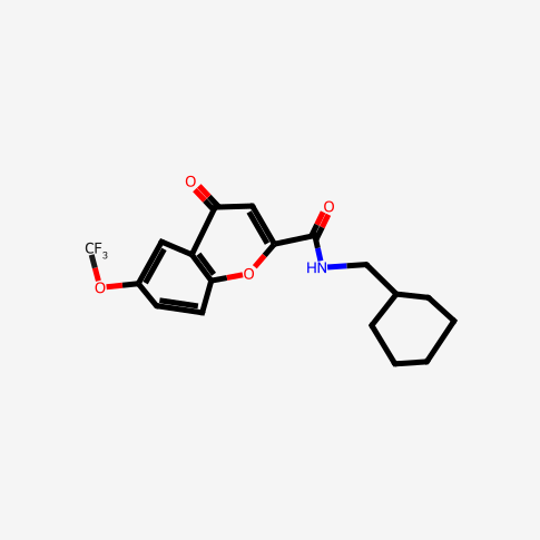 O=C(NCC1CCCCC1)c1cc(=O)c2cc(OC(F)(F)F)ccc2o1